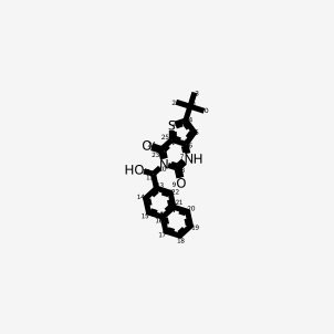 CC(C)(C)c1cc2[nH]c(=O)n(C(O)c3ccc4ccccc4c3)c(=O)c2s1